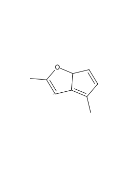 CC1=[C]C2=C(C)C=CC2O1